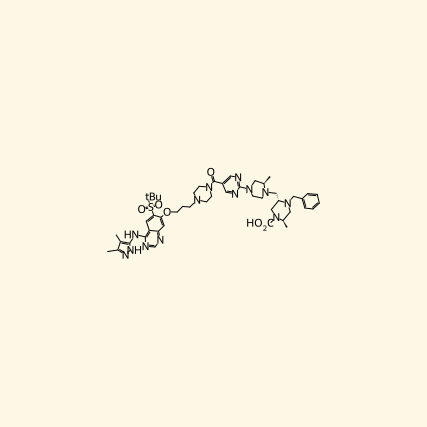 Cc1n[nH]c(Nc2ncnc3cc(OCCCN4CCN(C(=O)c5cnc(N6CCN(C[C@H]7CN(C(=O)O)[C@H](C)CN7Cc7ccccc7)[C@H](C)C6)nc5)CC4)c(S(=O)(=O)C(C)(C)C)cc23)c1C